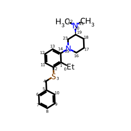 CCc1c(SCc2ccccc2)cccc1N1CCC[C@H](N(C)C)C1